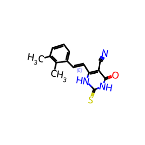 Cc1cccc(/C=C/c2[nH]c(=S)[nH]c(=O)c2C#N)c1C